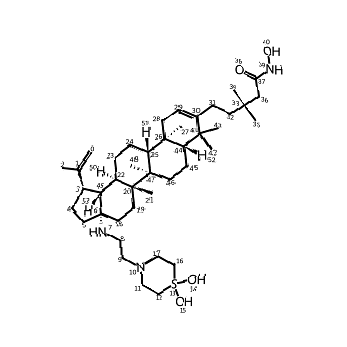 C=C(C)[C@@H]1CC[C@]2(NCCN3CCS(O)(O)CC3)CC[C@]3(C)[C@H](CC[C@@H]4[C@@]5(C)CC=C(CCC(C)(C)CC(=O)NO)C(C)(C)[C@@H]5CC[C@]43C)[C@@H]12